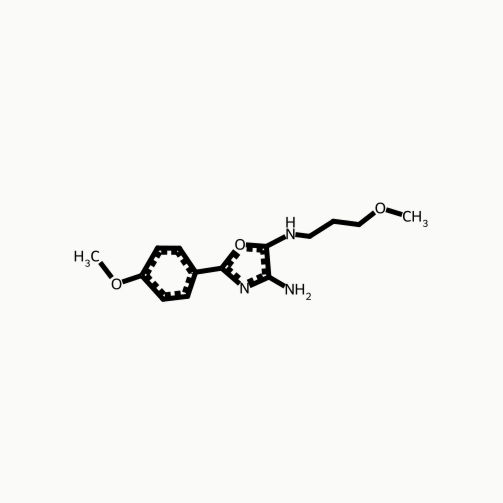 COCCCNc1oc(-c2ccc(OC)cc2)nc1N